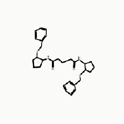 O=C(CCCC(=O)NC1CCCC1OCc1ccccc1)NC1CCCC1OCc1ccccc1